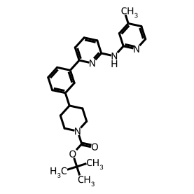 Cc1ccnc(Nc2cccc(-c3cccc(C4CCN(C(=O)OC(C)(C)C)CC4)c3)n2)c1